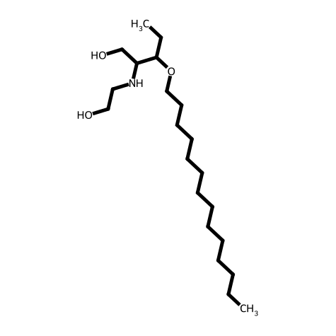 CCCCCCCCCCCCCCOC(CC)C(CO)NCCO